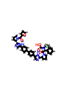 CN(C(=O)O)[C@@H](C(=O)N1CCC[C@H]1c1ncc(-c2ccc(-c3ccc(-c4cnc([C@@H]5CCCN5C(=O)C5CCCO5)[nH]4)cc3)cc2)[nH]1)c1ccccc1Cl